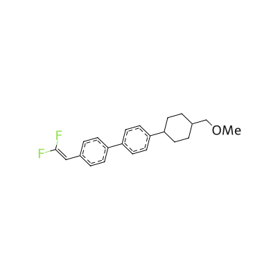 COCC1CCC(c2ccc(-c3ccc(C=C(F)F)cc3)cc2)CC1